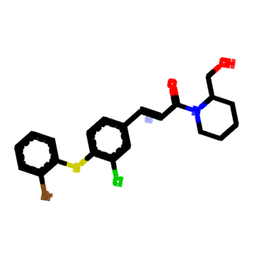 O=C(/C=C/c1ccc(Sc2ccccc2Br)c(Cl)c1)N1CCCCC1CO